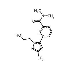 CN(C)C(=O)c1cccc(-c2cc(C(F)(F)F)nn2CCO)n1